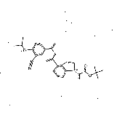 C=C(SC(=C)c1cccc2c1CC[C@@H]2NC(=O)OC(C)(C)C)c1ccc(OC(C)C)c(C#N)c1